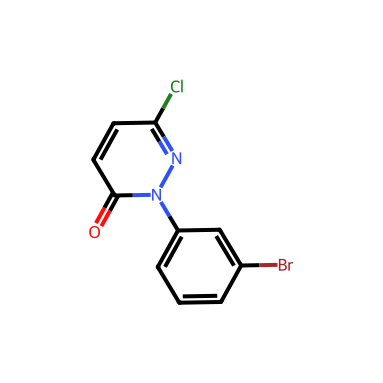 O=c1ccc(Cl)nn1-c1cccc(Br)c1